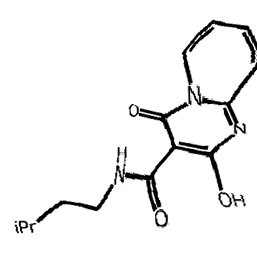 CC(C)CCNC(=O)c1c(O)nc2ccccn2c1=O